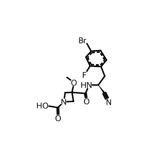 COC1(C(=O)N[C@H](C#N)Cc2ccc(Br)cc2F)CN(C(=O)O)C1